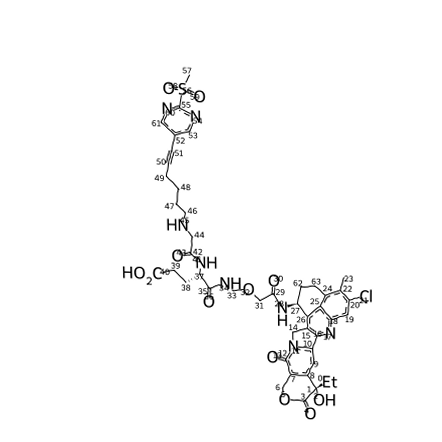 CC[C@@]1(O)C(=O)OCc2c1cc1n(c2=O)Cc2c-1nc1cc(Cl)c(C)c3c1c2[C@@H](NC(=O)COCNC(=O)[C@H](CCC(=O)O)NC(=O)CNCCCCC#Cc1cnc(S(C)(=O)=O)nc1)CC3